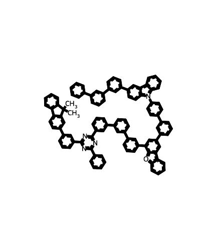 CC1(C)c2ccccc2-c2ccc(-c3cccc(-c4nc(-c5ccccc5)nc(-c5cccc(-c6cccc(-c7cccc(-c8cc(-c9cccc(-c%10ccc(-n%11c%12ccccc%12c%12cc(-c%13cccc(-c%14cccc(-c%15ccccc%15)c%14)c%13)ccc%12%11)cc%10)c9)cc9c8oc8ccccc89)c7)c6)c5)n4)c3)cc21